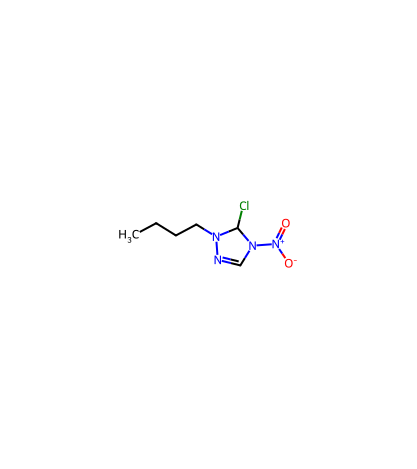 CCCCN1N=CN([N+](=O)[O-])C1Cl